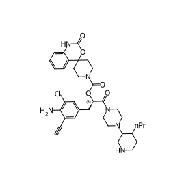 C#Cc1cc(C[C@@H](OC(=O)N2CCC3(CC2)OC(=O)Nc2ccccc23)C(=O)N2CCN(C3CNCCC3CCC)CC2)cc(Cl)c1N